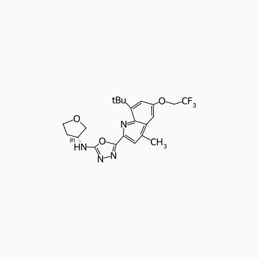 Cc1cc(-c2nnc(N[C@@H]3CCOC3)o2)nc2c(C(C)(C)C)cc(OCC(F)(F)F)cc12